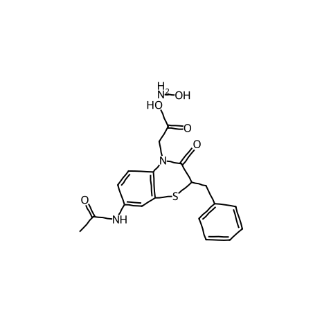 CC(=O)Nc1ccc2c(c1)SC(Cc1ccccc1)C(=O)N2CC(=O)O.NO